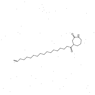 C=CCCCCCCCCCCCCCCCC(=O)C1CCCNC(=O)C1